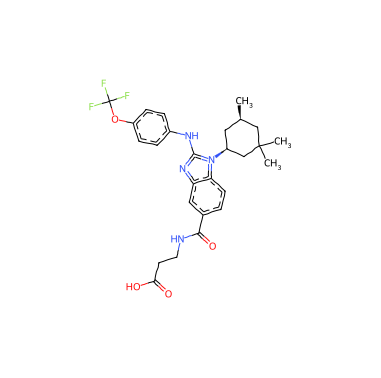 C[C@@H]1C[C@H](n2c(Nc3ccc(OC(F)(F)F)cc3)nc3cc(C(=O)NCCC(=O)O)ccc32)CC(C)(C)C1